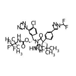 CC(C)(C)C[C@]1(c2ccc(-c3cnn(C(F)F)c3)cc2)NC(=N)N([C@H](COC(=O)NC(C)(C)C(F)(F)F)c2ccc(Cl)c(-n3cncn3)c2)C1=O